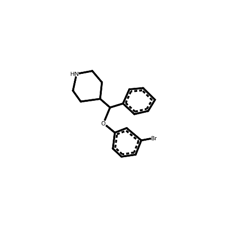 Brc1cccc(OC(c2ccccc2)C2CCNCC2)c1